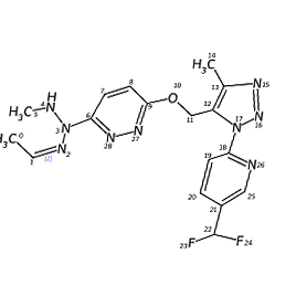 C/C=N\N(NC)c1ccc(OCc2c(C)nnn2-c2ccc(C(F)F)cn2)nn1